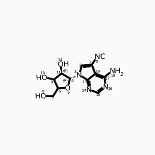 [C-]#[N+]c1cn([C@@H]2OC(CO)C(O)[C@H]2O)c2ncnc(N)c12